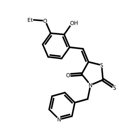 CCOc1cccc(C=C2SC(=S)N(Cc3cccnc3)C2=O)c1O